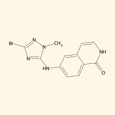 Cn1nc(Br)nc1Nc1ccc2c(=O)[nH]ccc2c1